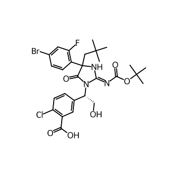 CC(C)(C)CC1(c2ccc(Br)cc2F)NC(=NC(=O)OC(C)(C)C)N([C@H](CO)c2ccc(Cl)c(C(=O)O)c2)C1=O